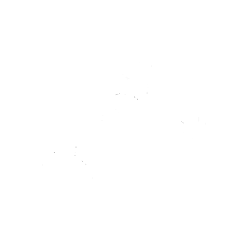 COC(=O)[C@H](Cc1ccc(OCCN(C)C(=O)OC(C)(C)C)cc1)NC(=O)[C@H]1CC[C@H](C(C)C)CC1